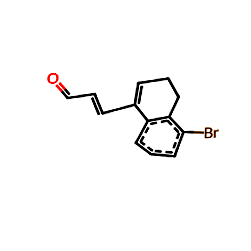 O=CC=CC1=CCCc2c(Br)cccc21